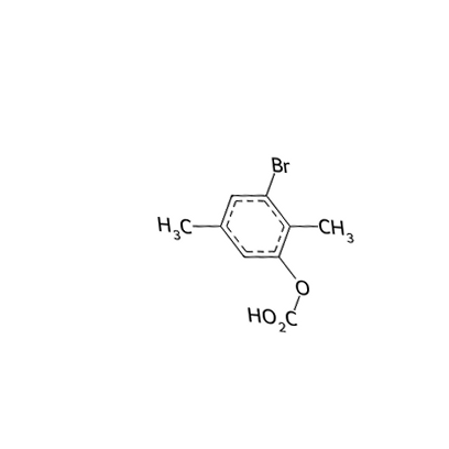 Cc1cc(Br)c(C)c(OC(=O)O)c1